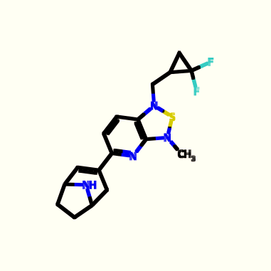 CN1SN(CC2CC2(F)F)c2ccc(C3=CC4CCC(C3)N4)nc21